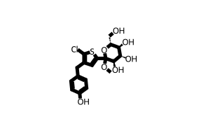 COC1(c2cc(Cc3ccc(O)cc3)c(Cl)s2)O[C@H](CO)[C@@H](O)[C@H](O)[C@H]1O